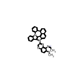 C=Nc1ccc2ncc(-n3c4ccc5cccc6c7ccccc7n7c8ccccc8c3c7c4c56)nc2c1/N=C\C